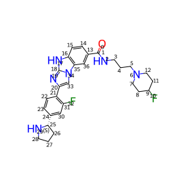 O=C(NCCCN1CCC(F)CC1)c1ccc2[nH]c3nc(-c4ccc([C@@H]5CCCN5)cc4F)cn3c2c1